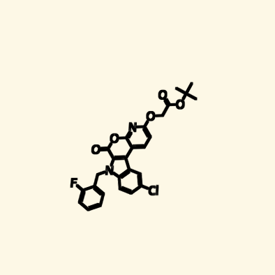 CC(C)(C)OC(=O)COc1ccc2c(n1)oc(=O)c1c2c2cc(Cl)ccc2n1Cc1ccccc1F